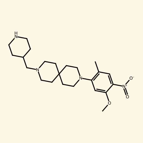 COc1cc(N2CCC3(CCN(CC4CCNCC4)CC3)CC2)c(C)cc1[N+](=O)[O-]